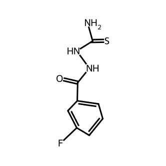 NC(=S)NNC(=O)c1cccc(F)c1